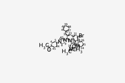 CC(=O)c1ccc(N2CCN(c3nc4c(C(O)(CCN(C)C)c5ccccc5)cc(Br)cc4cc3Cc3ccccc3)CC2)cc1